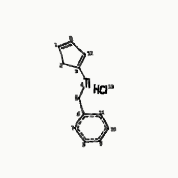 C1=CC[C]([Ti][CH2]c2ccccc2)=C1.Cl